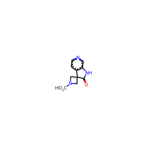 O=C(O)N1CC2(C1)C(=O)Nc1cnccc12